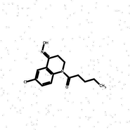 CCCCC(=O)N1CCC(=NO)c2cc(Cl)ccc21